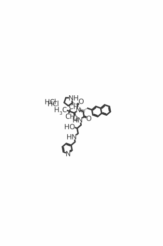 CC(C)(C)C(=O)N(C(=O)[C@@H]1CCCN1)[C@H](Cc1ccc2ccccc2c1)C(=O)NCC(O)CNCc1cccnc1.Cl.Cl